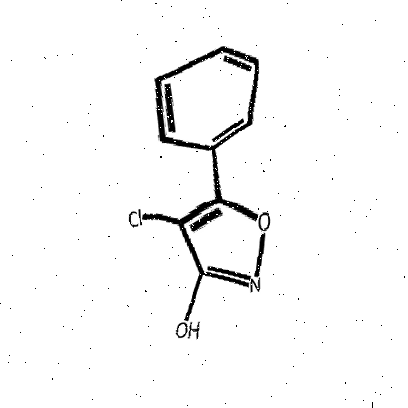 Oc1noc(-c2ccccc2)c1Cl